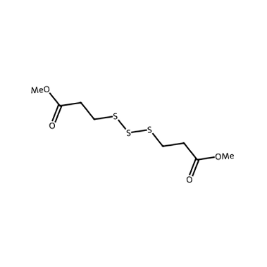 COC(=O)CCSSSCCC(=O)OC